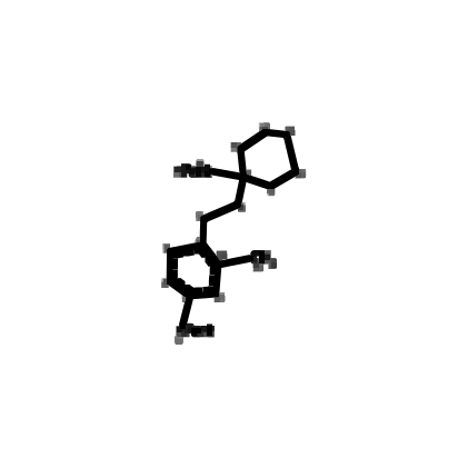 CCCCCc1ccc(CCC2(CCCCC)CCCCC2)c(C)c1